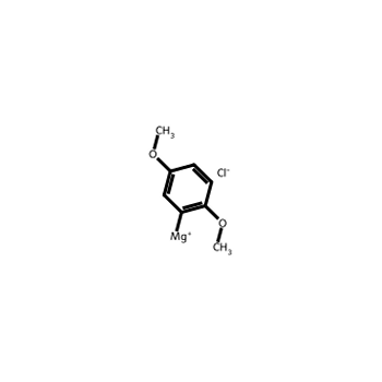 COc1ccc(OC)[c]([Mg+])c1.[Cl-]